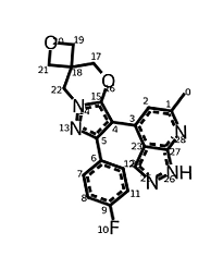 Cc1cc(-c2c(-c3ccc(F)cc3)nn3c2OCC2(COC2)C3)c2cn[nH]c2n1